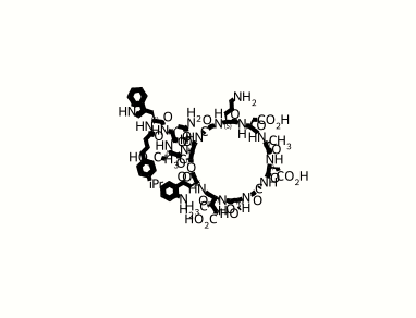 CC(C)c1ccc(CCCC(=O)N[C@@H](Cc2c[nH]c3ccccc23)C(=O)N[C@H](CC(N)=O)C(=O)N[C@@H](CC(=O)O)C(=O)N[C@@H]2C(=O)NCC(=O)N[C@@H](CCCN)C(=O)N[C@@H](CC(=O)O)C(=O)N[C@H](C)C(=O)N[C@@H](CC(=O)O)C(=O)NCC(=O)N[C@H](CO)C(=O)N[C@@H]([C@H](C)CC(=O)O)C(=O)N[C@@H](CC(=O)c3ccccc3N)C(=O)O[C@@H]2C)cc1